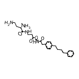 NCC[C@H](N)C(=O)NCCC(=O)ONC(=O)Cc1ccc(CCCCc2ccccc2)cc1